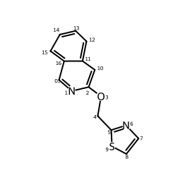 [c]1nc(OCc2nccs2)cc2ccccc12